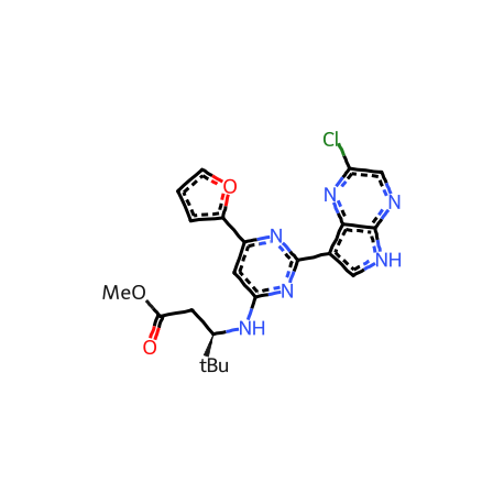 COC(=O)C[C@@H](Nc1cc(-c2ccco2)nc(-c2c[nH]c3ncc(Cl)nc23)n1)C(C)(C)C